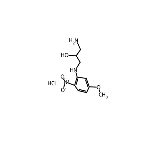 COc1ccc([N+](=O)[O-])c(NCC(O)CN)c1.Cl